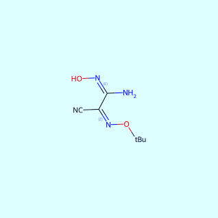 CC(C)(C)O/N=C(C#N)\C(N)=N/O